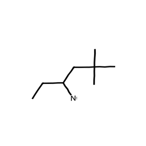 CCC([N])CC(C)(C)C